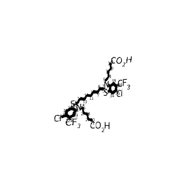 O=C(O)CCCCCN1/C(=C/C=C/C=C/C=C/c2sc3cc(Cl)c(C(F)(F)F)cc3[n+]2CCCCCC(=O)O)Sc2cc(Cl)c(C(F)(F)F)cc21